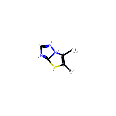 C[CH]c1sc2ncnn2c1C